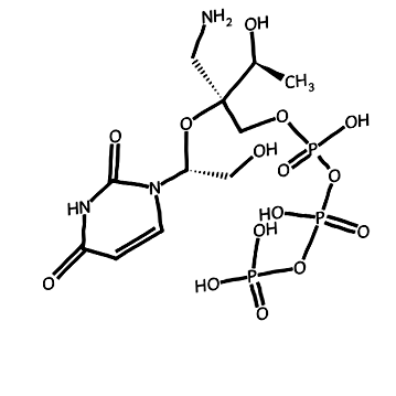 C[C@H](O)[C@@](CN)(COP(=O)(O)OP(=O)(O)OP(=O)(O)O)O[C@H](CO)n1ccc(=O)[nH]c1=O